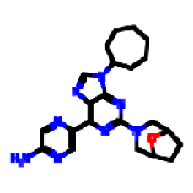 Nc1cnc(-c2nc(N3CC4CCC(C3)O4)nc3c2ncn3C2CCCCCC2)cn1